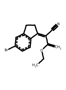 C=C(OCC)C(C#N)=C1CCc2cc(Br)ccc21